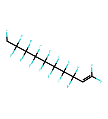 FCC(F)(F)C(F)(F)C(F)(F)C(F)(F)C(F)(F)C(F)(F)C(F)(F)C=C(F)F